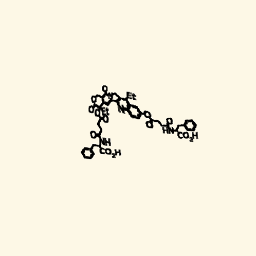 CCc1c2c(nc3ccc(OC(=O)CCC(=O)NC(Cc4ccccc4)C(=O)O)cc13)-c1cc3c(c(=O)n1C2)COC(=O)[C@@]3(CC)OC(=O)CCC(=O)NC(Cc1ccccc1)C(=O)O